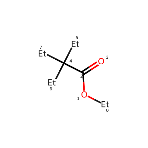 CCOC(=O)C(CC)(CC)CC